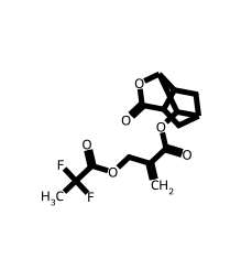 C=C(COC(=O)C(C)(F)F)C(=O)OC1C2CC3C(=O)OC1C3C2